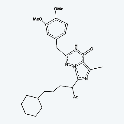 COc1ccc(Cc2nn3c(C(CCCC4CCCCC4)C(C)=O)nc(C)c3c(=O)[nH]2)cc1OC